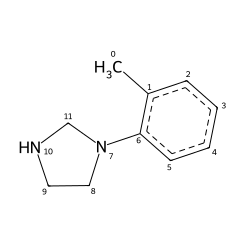 Cc1ccccc1N1CCNC1